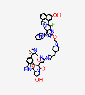 CCc1cccc2cc(O)cc(-c3ncc4c(N5CC6CCC(C5)N6C=O)nc(OCCN5CCC(CC6CN(c7cc(C(C(=O)N8C[C@H](O)C[C@H]8C(=O)NC(C)c8ccc(-c9scnc9C)cc8)C(C)C)on7)C6)CC5)nc4c3F)c12